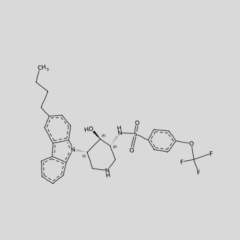 CCCCc1ccc2c(c1)c1ccccc1n2[C@H]1CNC[C@@H](NS(=O)(=O)c2ccc(OC(F)(F)F)cc2)[C@@H]1O